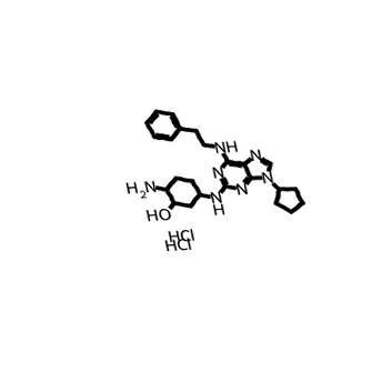 Cl.Cl.NC1CCC(Nc2nc(NCCc3ccccc3)c3ncn(C4CCCC4)c3n2)CC1O